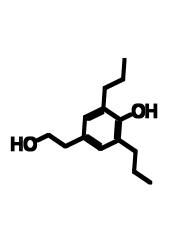 CCCc1cc(CCO)cc(CCC)c1O